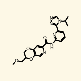 COCC1COc2cc(C(=O)Nc3cccc(-c4nncn4C(C)C)n3)ncc2O1